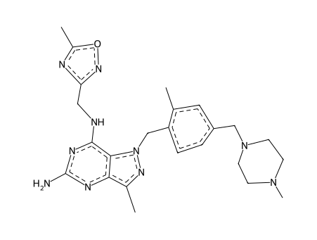 Cc1nc(CNc2nc(N)nc3c(C)nn(Cc4ccc(CN5CCN(C)CC5)cc4C)c23)no1